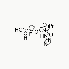 CC(C)CC(C(=O)Nc1cnccn1)N1CC(Oc2cccc([C@H](O)CO)c2F)=CC1=O